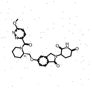 COc1ccc(C(=O)N2CCCC[C@@H]2COc2ccc3c(c2)CN(C2CCC(=O)NC2=O)C3=O)nn1